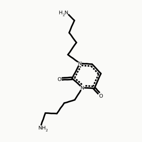 NCCCCn1ccc(=O)n(CCCCN)c1=O